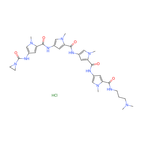 CN(C)CCCNC(=O)c1cc(NC(=O)c2cc(NC(=O)c3cc(NC(=O)c4cc(NC(=O)N5CC5)cn4C)cn3C)cn2C)cn1C.Cl